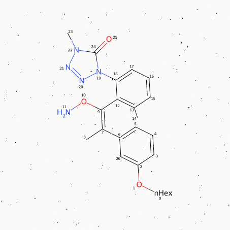 CCCCCCOc1cccc(/C(C)=C(/ON)c2c(C)cccc2-n2nnn(C)c2=O)c1